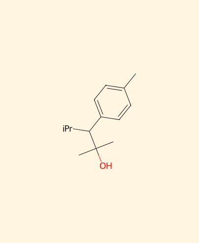 Cc1ccc(C(C(C)C)C(C)(C)O)cc1